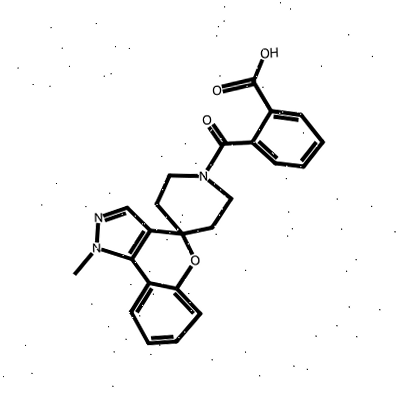 Cn1ncc2c1-c1ccccc1OC21CCN(C(=O)c2ccccc2C(=O)O)CC1